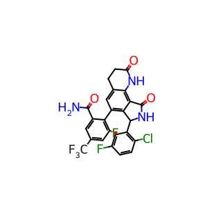 NC(=O)c1cc(C(F)(F)F)cc(F)c1-c1cc2c(c3c1C(c1cc(F)ccc1Cl)NC3=O)NC(=O)CC2